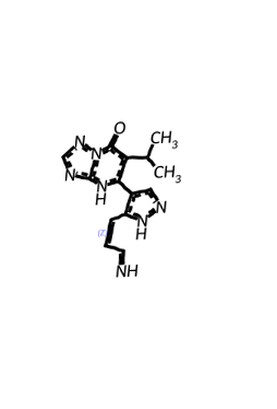 CC(C)c1c(-c2cn[nH]c2/C=C\C=N)[nH]c2ncnn2c1=O